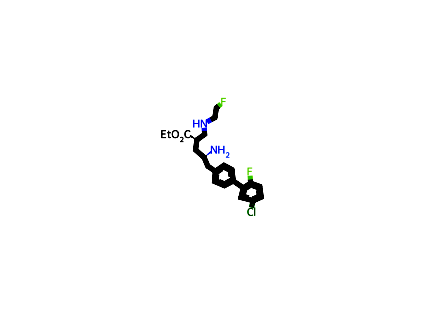 CCOC(=O)[C@H](CNCCF)C[C@H](N)Cc1ccc(-c2cc(Cl)ccc2F)cc1